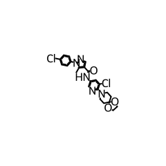 Cc1c(C(=O)Nc2cnc(N3CCC4(CC3)OCCO4)c(Cl)c2)cnn1-c1ccc(Cl)cc1